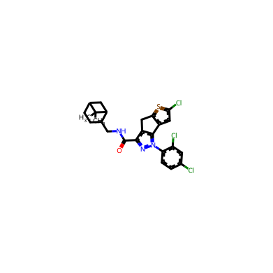 CC1(C)C2CCC(CNC(=O)c3nn(-c4ccc(Cl)cc4Cl)c4c3Cc3sc(Cl)cc3-4)C1C2